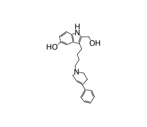 OCc1[nH]c2ccc(O)cc2c1CCCCN1CC=C(c2ccccc2)CC1